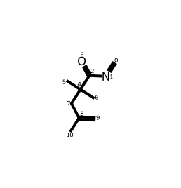 C=NC(=O)C(C)(C)CC(=C)C